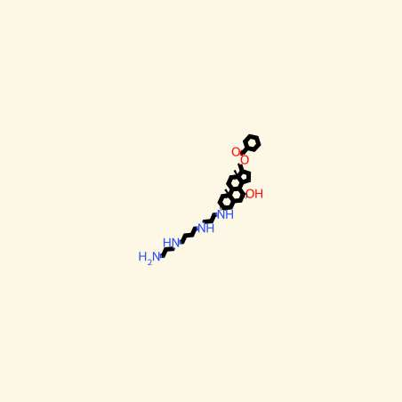 C[C@]12CC[C@@H](NCCCNCCCCNCCCN)CC1C[C@@H](O)C1C2CC[C@]2(C)C(COC(=O)C3CCCCC3)CCC12